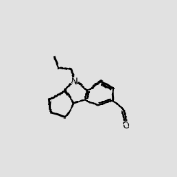 CCCN1c2ccc(C=O)cc2C2CCCC21